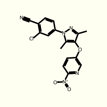 Cc1nn(-c2ccc(C#N)c(Cl)c2)c(C)c1Oc1ccc([N+](=O)[O-])nc1